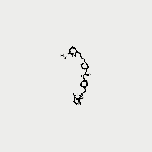 Cc1cccc(CCCN2CCN(C(=O)Oc3ccc(CCSc4nccn4C)cc3)CC2)n1